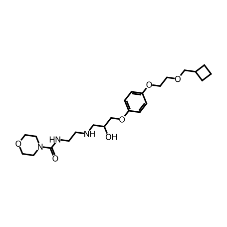 O=C(NCCNCC(O)COc1ccc(OCCOCC2CCC2)cc1)N1CCOCC1